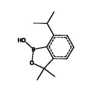 CC(C)c1cccc2c1B(O)OC2(C)C